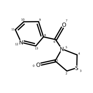 O=C1CSCN1C(=O)c1cccnc1